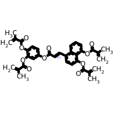 C=C(C)C(=O)Oc1ccc(OC(=O)/C=C/c2ccc(OC(=O)C(=C)C)c3c(OC(=O)C(=C)C)cccc23)cc1OC(=O)C(=C)C